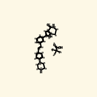 O=C(O)C(F)(F)F.O=C1NCCc2[nH]c(-c3ccnc(/C=C/c4ccc(N5CCNCC5)cc4)c3)cc21